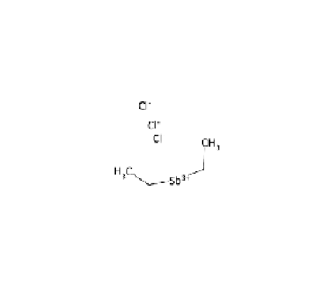 C[CH2][Sb+3][CH2]C.[Cl-].[Cl-].[Cl-]